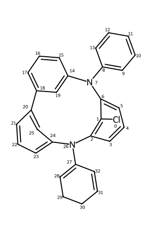 Clc1c2cccc1N(c1ccccc1)c1cccc(c1)-c1cccc(c1)N2C1=CCCC=C1